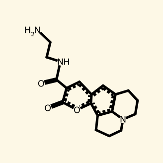 NCCNC(=O)c1cc2cc3c4c(c2oc1=O)CCCN4CCC3